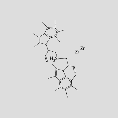 C=CC(C[SiH2]CC(C=C)C1C(C)=C(C)c2c(C)c(C)c(C)c(C)c21)C1C(C)=C(C)c2c(C)c(C)c(C)c(C)c21.[Zr].[Zr]